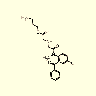 CCCCOC(=O)CNCC(=O)N(C)c1ccc(Cl)cc1C(=O)c1ccccc1